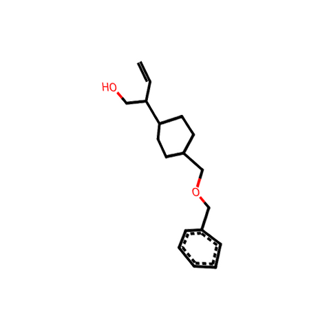 C=CC(CO)C1CCC(COCc2ccccc2)CC1